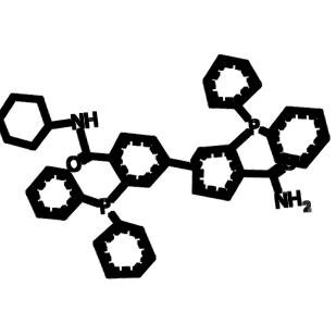 NC(=O)c1ccc(-c2ccc(C(=O)NC3CCCCC3)c(P(c3ccccc3)c3ccccc3)c2)cc1P(c1ccccc1)c1ccccc1